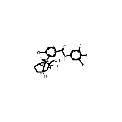 O=C(Nc1cc(F)c(F)c(F)c1)c1ccc(Cl)c(S(=O)(=O)[C@@H]2C3CC[C@H]2C[C@](O)(CO)C3)c1